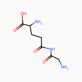 NCC(=O)NC(=O)CCC(N)C(=O)O